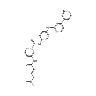 CN(C)CC=CC(=O)Nc1cccc(C(=O)Nc2ccc(Nc3nccc(-c4cccnc4)n3)cc2)c1